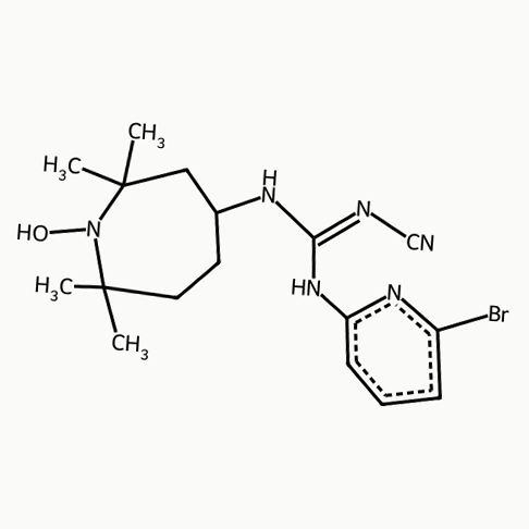 CC1(C)CCC(N/C(=N/C#N)Nc2cccc(Br)n2)CC(C)(C)N1O